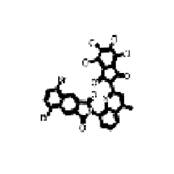 Cc1cc(C2C(=O)c3c(Cl)c(Cl)c(Cl)c(Cl)c3C2=O)nc2c(N3C(=O)c4cc5c(Br)ccc(Br)c5cc4C3=O)cccc12